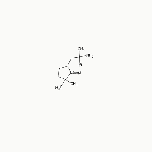 CCC(C)(N)CC1CCC(C)(C)[N+]1=[N-]